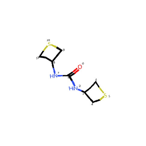 O=C(NC1CSC1)NC1CSC1